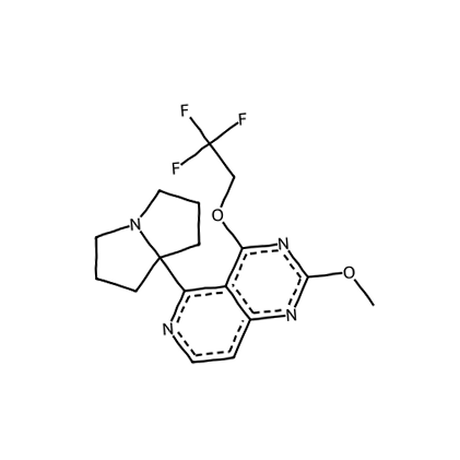 COc1nc(OCC(F)(F)F)c2c(C34CCCN3CCC4)nccc2n1